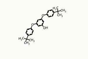 CC(C)(C)c1ccc(Oc2cc(O)cc(Oc3ccc(C(C)(C)C)cc3)c2)cc1